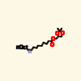 CCCCCCCC/C=C\CCCCCCCC(=O)OCC1COC(C)(C)O1